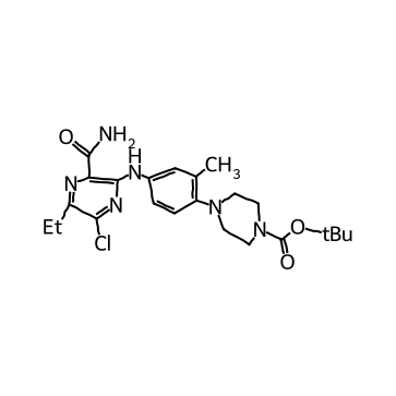 CCc1nc(C(N)=O)c(Nc2ccc(N3CCN(C(=O)OC(C)(C)C)CC3)c(C)c2)nc1Cl